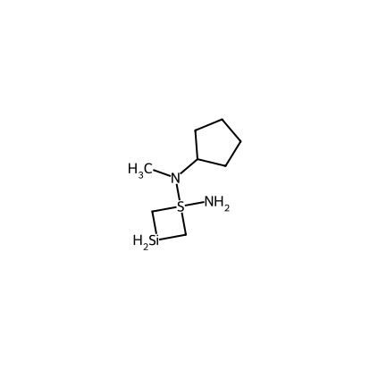 CN(C1CCCC1)S1(N)C[SiH2]C1